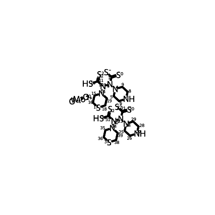 S=C([S-])N(N1CCNCC1)N(C(=S)S)N1CCSCC1.S=C([S-])N(N1CCNCC1)N(C(=S)S)N1CCSCC1.[O]=[Mo+2]=[O]